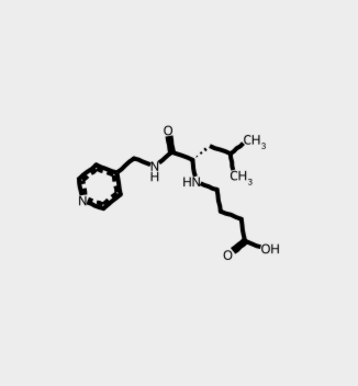 CC(C)C[C@H](NCCCC(=O)O)C(=O)NCc1ccncc1